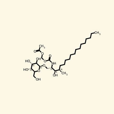 CCCCCCCCCCCCCC[C@@H](C)[C@@H](O)[C@H](CO[C@H]1OC(CO)[C@H](O)[C@H](O)C1O)NC(=O)OCOC(C)=O